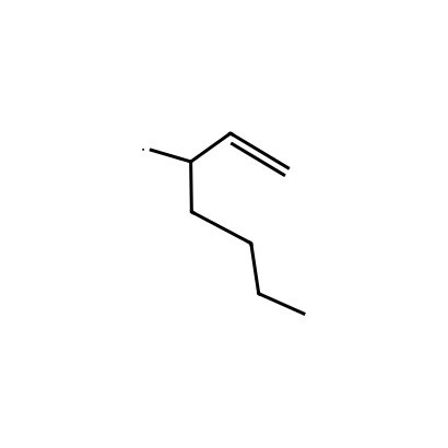 [CH2]C(C=C)CCCC